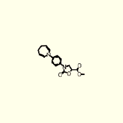 COC(=O)C1CN(c2ccc(N3C=CCCC=C3)cc2)C(=O)O1